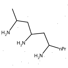 CCCC(N)CC(N)CC(C)N